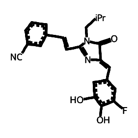 CC(C)CN1C(=O)/C(=C/c2cc(O)c(O)c(F)c2)N=C1/C=C/c1cccc(C#N)c1